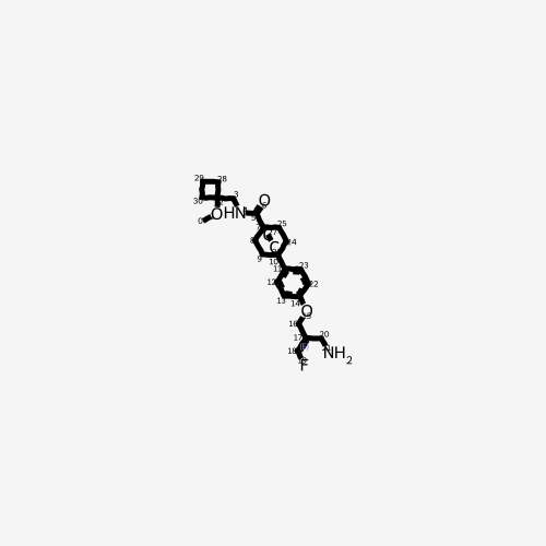 COC1(CNC(=O)C23CCC(c4ccc(OC/C(=C/F)CN)cc4)(CC2)CC3)CCC1